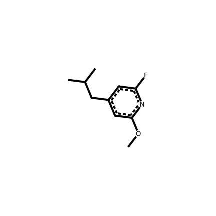 COc1cc(CC(C)C)cc(F)n1